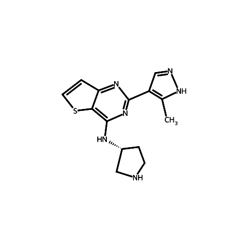 Cc1[nH]ncc1-c1nc(N[C@@H]2CCNC2)c2sccc2n1